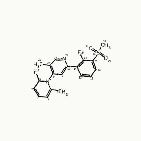 CC1=CC=CC(F)N1c1cc(-c2cccc(S(C)(=O)=O)c2F)ncc1C